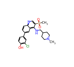 CN1CCC(CNc2c(S(C)(=O)=O)cnc3ccc(-c4ccc(O)c(Cl)c4)cc23)CC1